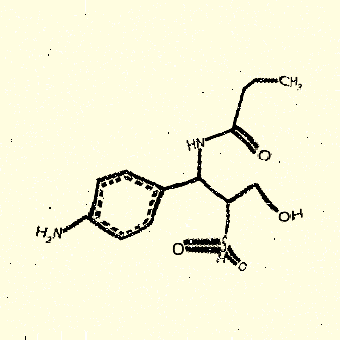 CCC(=O)NC(c1ccc(N)cc1)C(CO)[SH](=O)=O